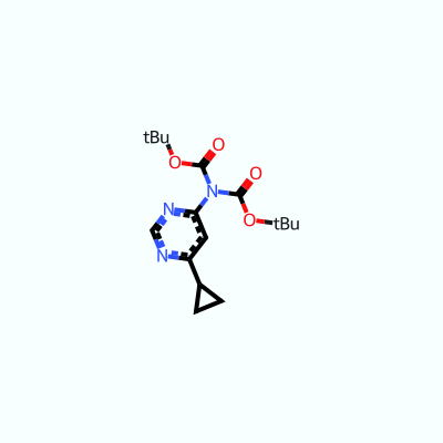 CC(C)(C)OC(=O)N(C(=O)OC(C)(C)C)c1cc(C2CC2)ncn1